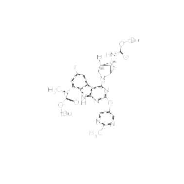 Cc1ncc(Oc2nc(N3C[C@H]4CC3C[C@H]4NC(=O)OC(C)(C)C)c3c(n2)[nH]c2c(N(C)C(=O)OC(C)(C)C)cc(F)cc23)cn1